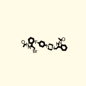 CC(=O)n1nc(CBr)c2ccccc21.CC(=O)n1nc(CN2CCN(c3ccc(F)cc3)CC2)c2ccccc21